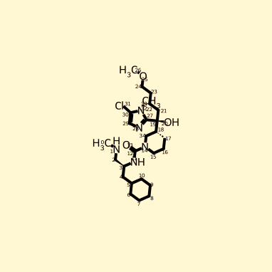 CNC[C@H](CC1CCCCC1)NC(=O)N1CCC[C@@H]([C@@](O)(CCCCOC)c2ncc(Cl)n2C)C1